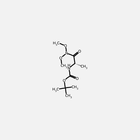 CON(OC)C(=O)[C@H](C)NC(=O)OC(C)(C)C